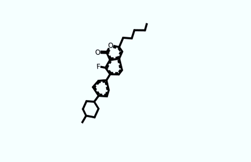 CCCCCc1cc2ccc(-c3ccc(C4CCC(C)CC4)cc3)c(F)c2c(=O)o1